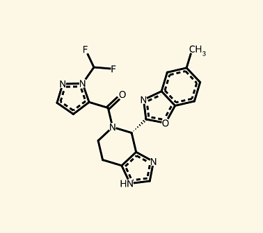 Cc1ccc2oc([C@@H]3c4nc[nH]c4CCN3C(=O)c3ccnn3C(F)F)nc2c1